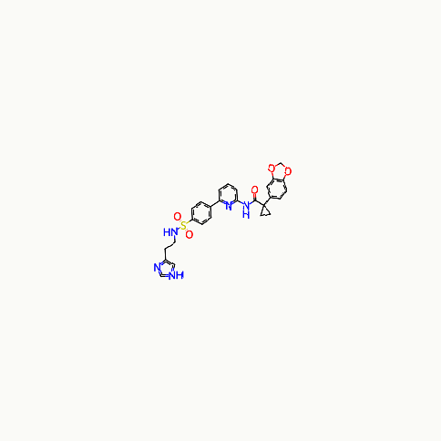 O=C(Nc1cccc(-c2ccc(S(=O)(=O)NCCc3c[nH]cn3)cc2)n1)C1(c2ccc3c(c2)OCO3)CC1